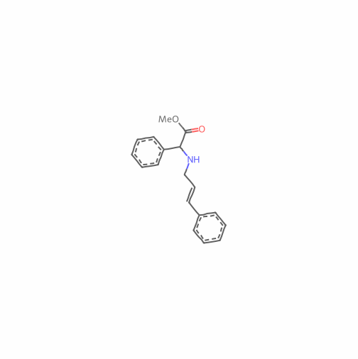 COC(=O)C(NCC=Cc1ccccc1)c1ccccc1